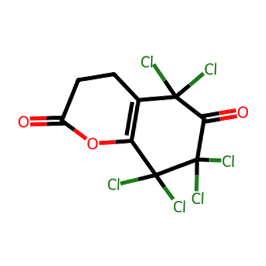 O=C1CCC2=C(O1)C(Cl)(Cl)C(Cl)(Cl)C(=O)C2(Cl)Cl